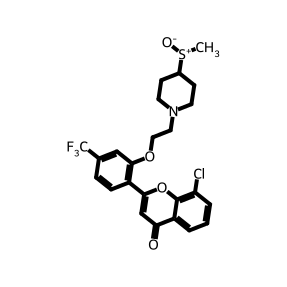 C[S+]([O-])C1CCN(CCOc2cc(C(F)(F)F)ccc2-c2cc(=O)c3cccc(Cl)c3o2)CC1